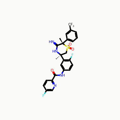 C[C@@]1(c2cc(NC(=O)c3ccc(F)cn3)ccc2F)CS(=O)(=O)[C@@](C)(c2cccc(C(F)(F)F)c2)C(=N)N1